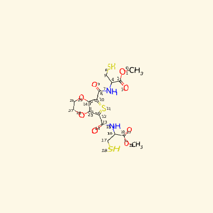 COC(=O)C(CS)NC(=O)c1sc(C(=O)NC(CS)C(=O)OC)c2c1OCCO2